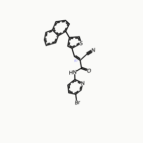 N#C/C(=C\c1cc(-c2cccc3ccccc23)cs1)C(=O)Nc1ccc(Br)cn1